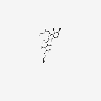 CCCC(C)CN(CC(F)C(F)C(F)C(F)C(F)CCCF)c1cccc(F)c1F